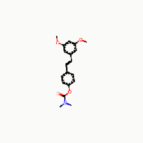 COc1cc(C=Cc2ccc(OC(=O)N(C)C)cc2)cc(OC)c1